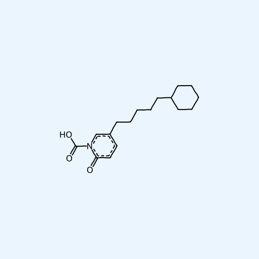 O=C(O)n1cc(CCCCCC2CCCCC2)ccc1=O